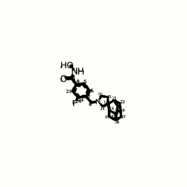 O=C(NO)c1ccc(CN2CCC3(C2)C2CC4CC(C2)CC3C4)c(F)c1